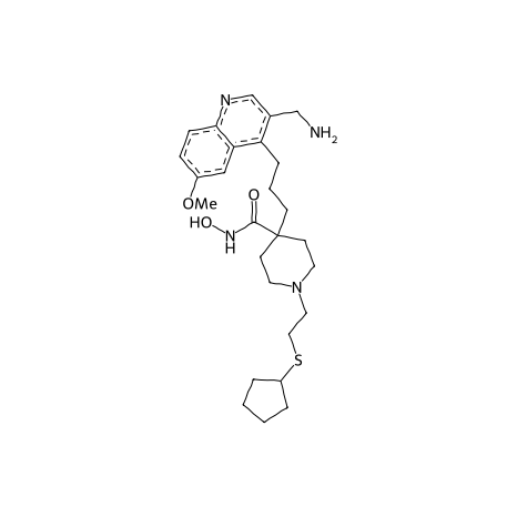 COc1ccc2ncc(CN)c(CCCC3(C(=O)NO)CCN(CCSC4CCCC4)CC3)c2c1